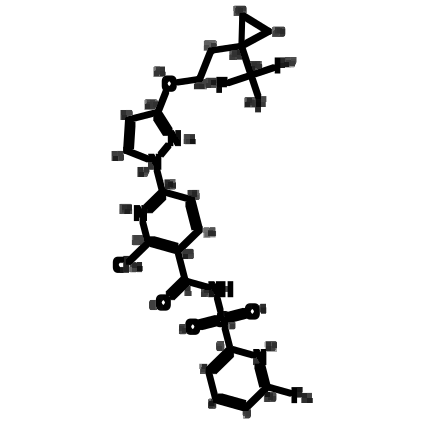 O=C(NS(=O)(=O)c1cccc(F)n1)c1ccc(-n2ccc(OCCC3(C(F)(F)F)CC3)n2)nc1Cl